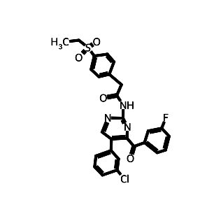 CCS(=O)(=O)c1ccc(CC(=O)Nc2ncc(-c3cccc(Cl)c3)c(C(=O)c3cccc(F)c3)n2)cc1